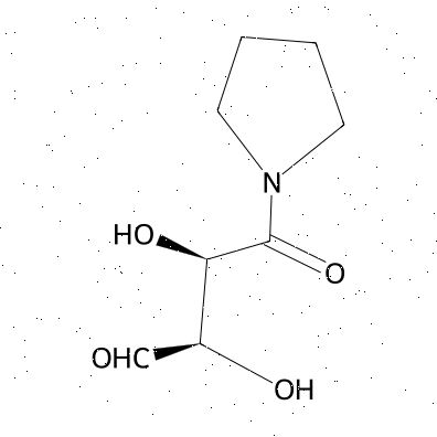 O=C[C@H](O)[C@@H](O)C(=O)N1CCCC1